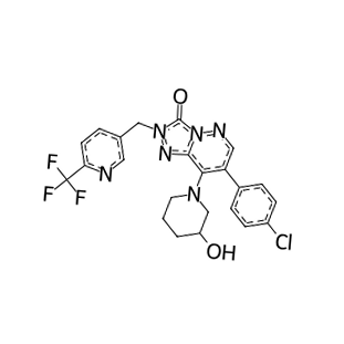 O=c1n(Cc2ccc(C(F)(F)F)nc2)nc2c(N3CCCC(O)C3)c(-c3ccc(Cl)cc3)cnn12